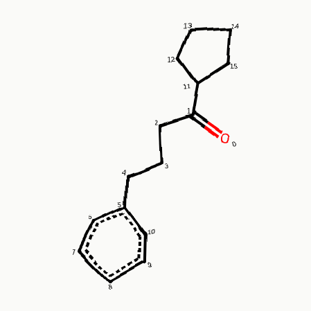 O=C(CCCc1ccccc1)C1CCCC1